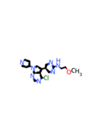 COCCNc1ncc(-c2cn(-c3ccncc3)c3ncnc(Cl)c23)cn1